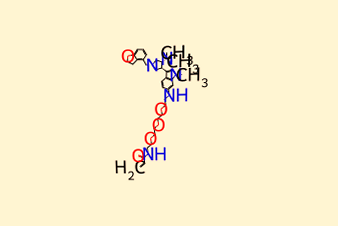 C=CC(=O)NCCOCCOCCOCCNc1ccc2c([C@H]3CN(Cc4cccc5c4CCO5)C[C@@H]3N(C)C)cn(C)c2c1